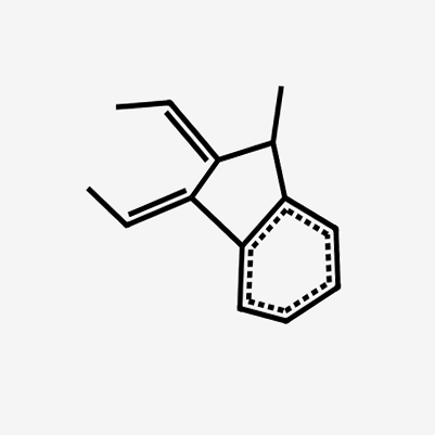 C/C=C1\C(=C/C)c2ccccc2C1C